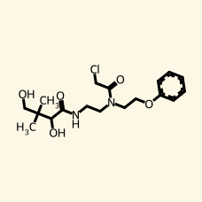 CC(C)(CO)C(O)C(=O)NCCN(CCOc1ccccc1)C(=O)CCl